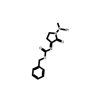 CC(C)N(C)N1CC/C(=N\C(=O)OCc2ccccc2)C1=O